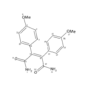 COc1ccc(C(C(N)=O)=C(C(N)=O)c2ccc(OC)cc2)cc1